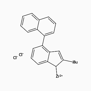 CCC(C)C1=Cc2c(-c3cccc4ccccc34)cccc2[CH]1[Zr+2].[Cl-].[Cl-]